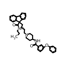 CCCNC(=O)C1(CCCCN2CCC(NC(=O)c3cccc(Oc4ccccc4)c3)CC2)c2ccccc2-c2ccccc21